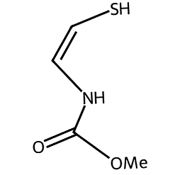 COC(=O)N/C=C\S